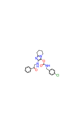 O=C(NCc1ccc(Cl)cc1)Oc1c(NCC(=O)c2ccccc2)nc2n1CCCC2